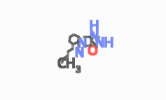 CCCCCC1CCCCC1(C#N)N1CCC2(CC1)NCNC2=O